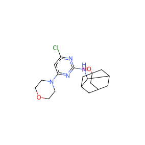 OC12CC3CC(C1)C(Nc1nc(Cl)cc(N4CCOCC4)n1)C(C3)C2